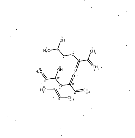 C=C(C)C(=O)OCC(C)O.C=CC(=O)OC(O)C=C.CC=CC